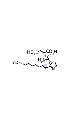 CCCCCCCCCCCCCCC/C=C/C1=NCCN1C(C)N.O=C(O)CCC(=O)O